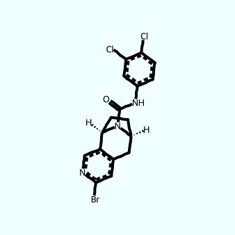 O=C(Nc1ccc(Cl)c(Cl)c1)N1[C@H]2CC[C@@H]1c1cnc(Br)cc1C2